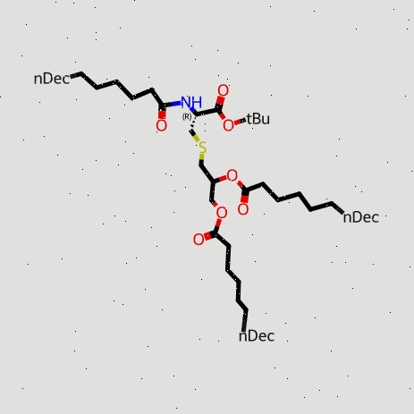 CCCCCCCCCCCCCCCC(=O)N[C@@H](CSCC(COC(=O)CCCCCCCCCCCCCCC)OC(=O)CCCCCCCCCCCCCCC)C(=O)OC(C)(C)C